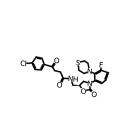 O=C(CCC(=O)c1ccc(Cl)cc1)NC[C@H]1CN(c2cccc(F)c2N2CCSCC2)C(=O)O1